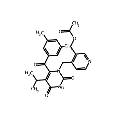 CC(=O)OCc1cnccc1Cn1c(C(=O)c2cc(C)cc(C)c2)c(C(C)C)c(=O)[nH]c1=O